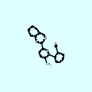 Cc1ccc(-c2ncc3ccccc3n2)nc1-c1ccccc1C#N